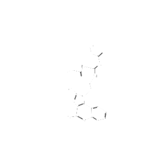 CCCc1nc2c(N)nc3ccccc3c2n1CCNC(=NC(=O)OC(C)(C)C)NC(=O)OC(C)(C)C